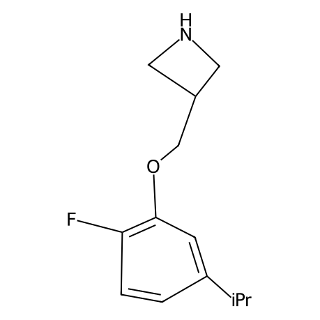 CC(C)c1ccc(F)c(OCC2CNC2)c1